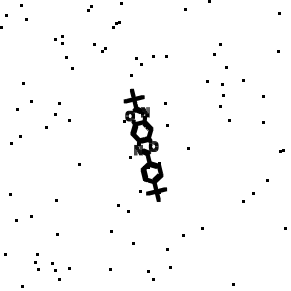 CC(C)(C)c1ccc(-c2nc3cc4oc(C(C)(C)C)nc4cc3o2)cc1